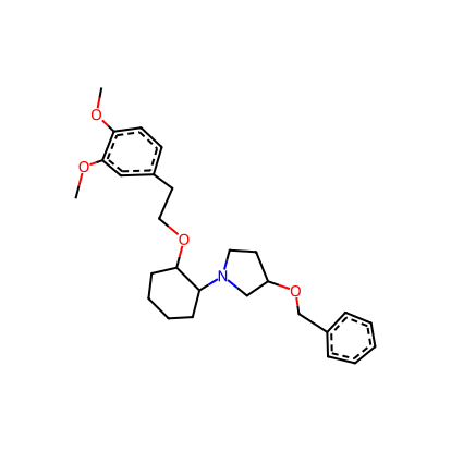 COc1ccc(CCOC2CCCCC2N2CCC(OCc3ccccc3)C2)cc1OC